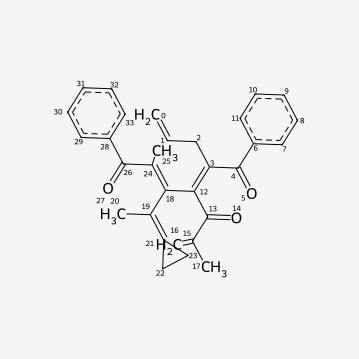 C=CC/C(C(=O)c1ccccc1)=C(C(=O)C(=C)C)\C(C(C)=C1CC1)=C(/C)C(=O)c1ccccc1